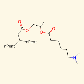 CCCCCC(CCCCC)CC(=O)OCC(C)OC(=O)CCCCCN(C)C